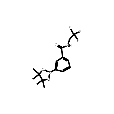 CC1(C)OB(c2cccc(C(=O)NCC(F)(F)F)c2)OC1(C)C